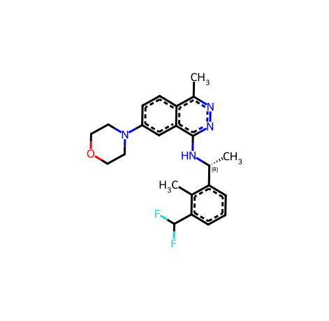 Cc1c(C(F)F)cccc1[C@@H](C)Nc1nnc(C)c2ccc(N3CCOCC3)cc12